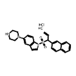 C=CC(c1ccc2ccccc2c1)S(=O)(=O)n1ccc2cc(N3CCNCC3)ccc21.Cl.Cl